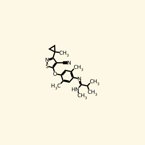 CNC(=Nc1cc(C)c(Oc2snc(C3(C)CC3)c2C#N)cc1C)C(C)C